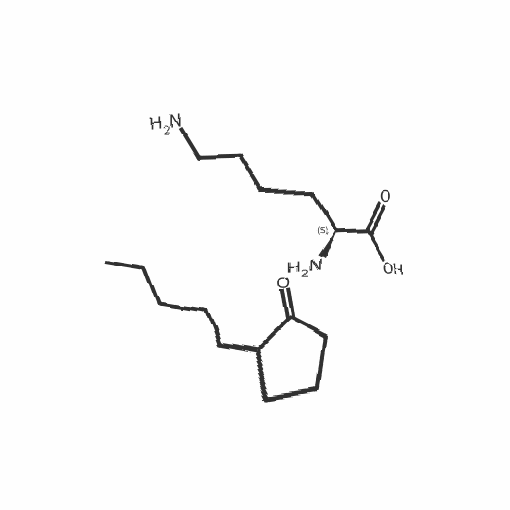 CCCCCC1CCCC1=O.NCCCC[C@H](N)C(=O)O